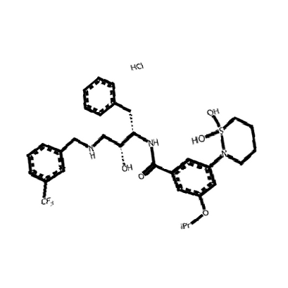 CC(C)Oc1cc(C(=O)N[C@@H](Cc2ccccc2)[C@H](O)CNCc2cccc(C(F)(F)F)c2)cc(N2CCCCS2(O)O)c1.Cl